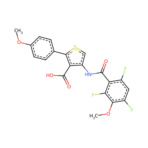 COc1ccc(-c2scc(NC(=O)c3c(F)cc(F)c(OC)c3F)c2C(=O)O)cc1